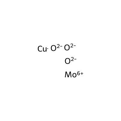 [Cu].[Mo+6].[O-2].[O-2].[O-2]